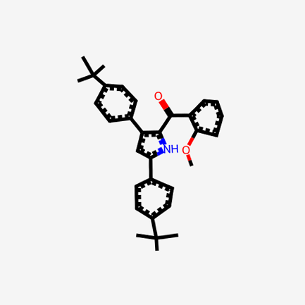 COc1ccccc1C(=O)c1[nH]c(-c2ccc(C(C)(C)C)cc2)cc1-c1ccc(C(C)(C)C)cc1